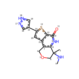 CNC1(C)COCc2c1[nH]c(=O)c1sc(-c3cn[nH]c3)cc21